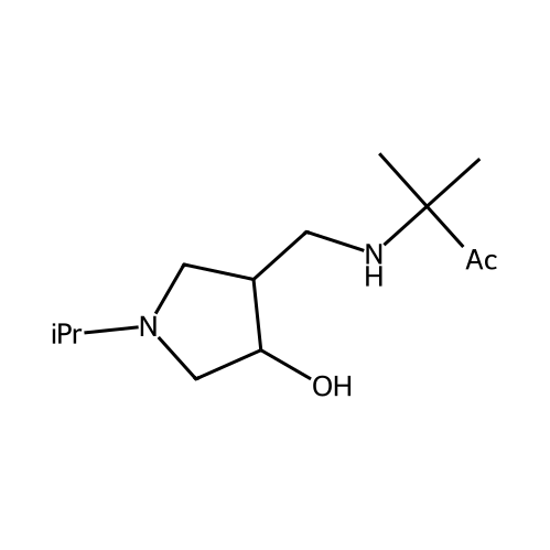 CC(=O)C(C)(C)NCC1CN(C(C)C)CC1O